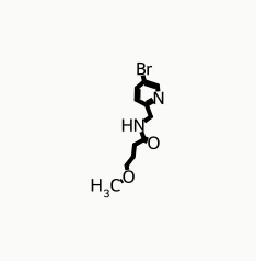 COCCCC(=O)NCc1ccc(Br)cn1